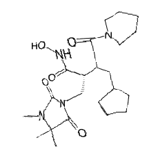 CN1C(=O)N(C[C@H](C(=O)NO)C(CC2CCCC2)C(=O)N2CCCCC2)C(=O)C1(C)C